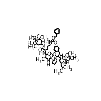 CC(C)CC(/C=C/C(Cc1ccccc1)C(=O)N1CCC[C@H]1C(=O)NC(C)C(=O)NC(CCCNC(=O)OCc1ccccc1)C(=O)NC1CC(C)(C)N(O)C(C)(C)C1)NC(=O)OC(C)(C)C